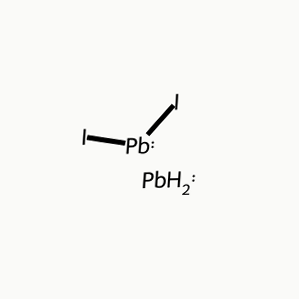 [I][Pb][I].[PbH2]